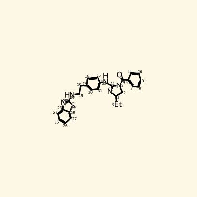 CCC1CN(C(=O)c2ccccc2)C(Nc2ccc(CCNc3nc4ccccc4s3)cc2)=N1